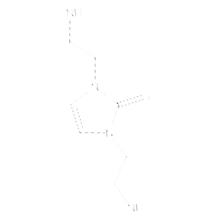 NCCn1ccn(CCN)c1=S